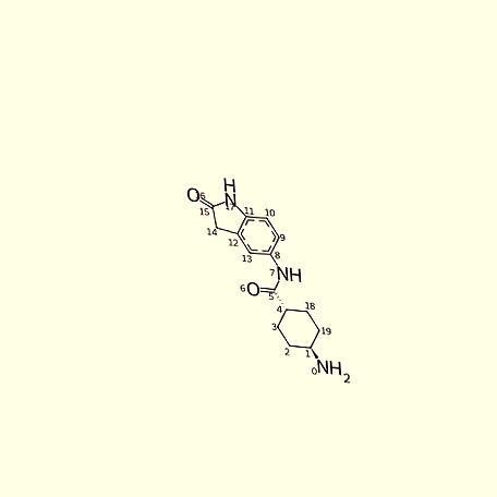 N[C@H]1CC[C@H](C(=O)Nc2ccc3c(c2)CC(=O)N3)CC1